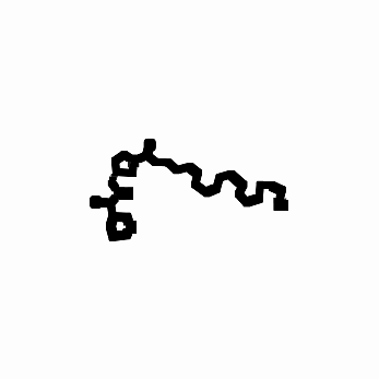 CC/C=C\C/C=C\C/C=C\C/C=C\C/C=C\CCCC(=O)N1CC[C@@H](CNC(=O)c2cccnc2)C1